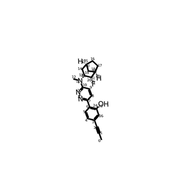 CC#Cc1ccc(-c2ccc(N(C)[C@@H]3C[C@H]4CC[C@H](C4)[C@@H]3F)nn2)c(O)c1